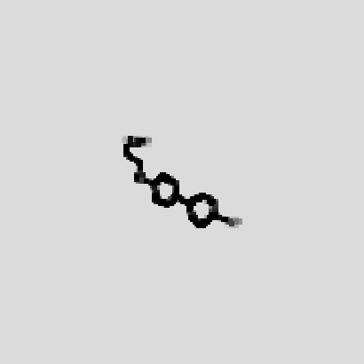 CCCCCCCCCCCCOc1ccc(-c2ccc(S)cc2)cc1